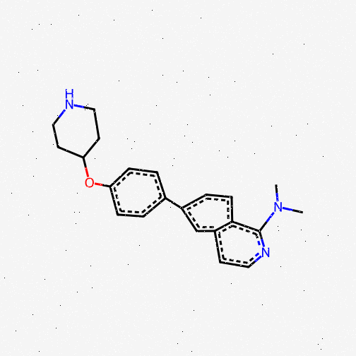 CN(C)c1nccc2cc(-c3ccc(OC4CCNCC4)cc3)ccc12